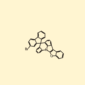 Brc1ccc2c(c1)C1(c3ccccc3-2)c2ccccc2-n2c3oc4ccccc4c3c3cccc1c32